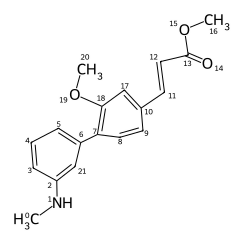 CNc1cccc(-c2ccc(/C=C/C(=O)OC)cc2OC)c1